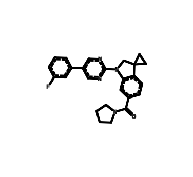 O=C(c1ccc2c(c1)N(c1ncc(-c3cccc(F)c3)cn1)CC21CC1)N1CCCC1